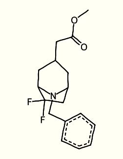 COC(=O)CC1CC2CC(F)(F)C(C1)N2Cc1ccccc1